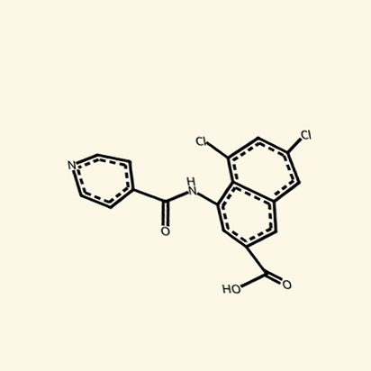 O=C(O)c1cc(NC(=O)c2ccncc2)c2c(Cl)cc(Cl)cc2c1